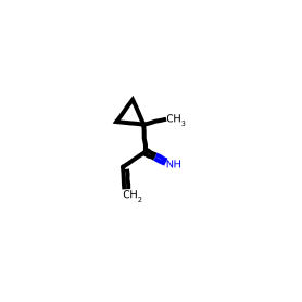 C=CC(=N)C1(C)CC1